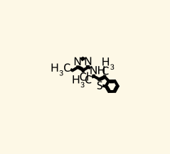 CCc1ncnc(NC(C)c2sc3ccccc3c2C)c1Cl